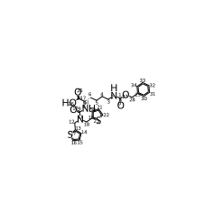 O=C(NCCCC[C@H](NC(=O)N(Cc1cccs1)Cc1cccs1)C(=O)O)OCc1ccccc1